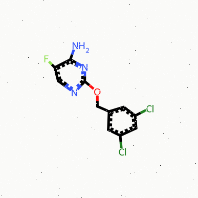 Nc1nc(OCc2cc(Cl)cc(Cl)c2)ncc1F